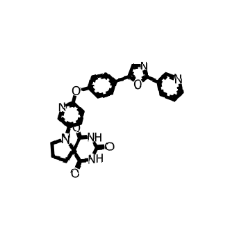 O=C1NC(=O)C2(CCCN2c2ccc(Oc3ccc(-c4cnc(-c5cccnc5)o4)cc3)nc2)C(=O)N1